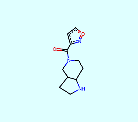 O=C(c1ccon1)N1CCC2NCCC2C1